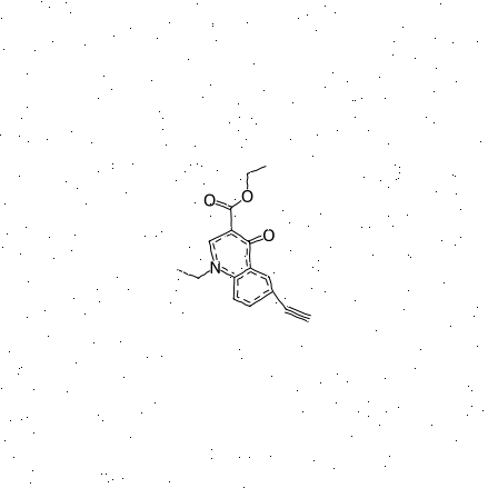 C#Cc1ccc2c(c1)c(=O)c(C(=O)OCC)cn2CC